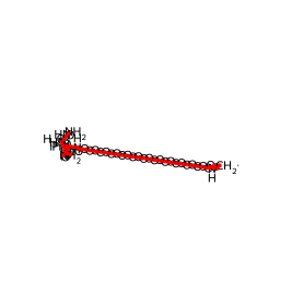 [CH2]c1ccc(NC(=O)OCCOCCOCCOCCOCCOCCOCCOCCOCCOCCOCCOCCOCCOCCOCCOCCOCCOCCOCCOCCOCCOCCOCCOCCC(=O)NCCCC[C@H](NC(=O)[C@H](CN)N2C(=O)C=CC2=O)C(=O)N[C@H](C(=O)N[C@@H](C)CCCNC(N)=O)C(C)C)cc1